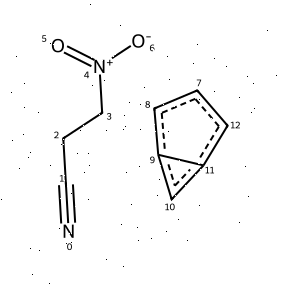 N#CCC[N+](=O)[O-].c1cc2cc-2c1